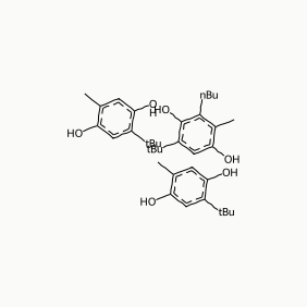 CCCCc1c(C)c(O)cc(C(C)(C)C)c1O.Cc1cc(O)c(C(C)(C)C)cc1O.Cc1cc(O)c(C(C)(C)C)cc1O